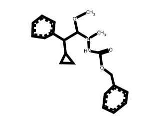 COC(C(c1ccccc1)C1CC1)N(C)NC(=O)OCc1ccccc1